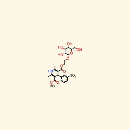 CCCCOC(=O)C1=C(C)NC(C)=C(C(=O)OCCO[C@@H]2O[C@H](CO)[C@@H](O)[C@H](O)[C@H]2O)C1c1cccc([N+](=O)[O-])c1